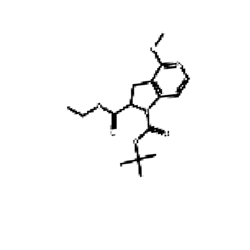 CCOC(=O)C1Cc2c(ccnc2OC)N1C(=O)OC(C)(C)C